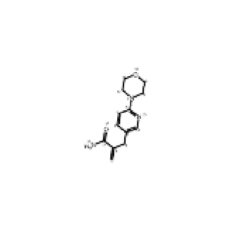 C=C(Cc1ccc(N2CCOCC2)nc1)C(N)=O